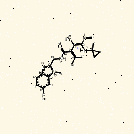 C=N/C(NC1(C)CC1)=C(/C(C(=O)NCc1nc2ccc(F)cc2n1C)=C(C)C)C(C)C